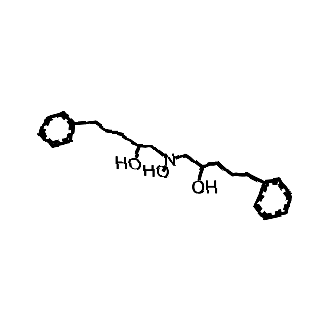 OC(CCCc1ccccc1)CN(O)CC(O)CCCc1ccccc1